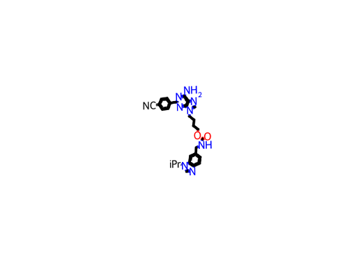 CC(C)n1cnc2ccc(CNC(=O)OCCCCn3cnc4c(N)nc(-c5ccc(C#N)cc5)nc43)cc21